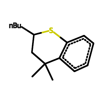 CCCCC1CC(C)(C)c2ccccc2S1